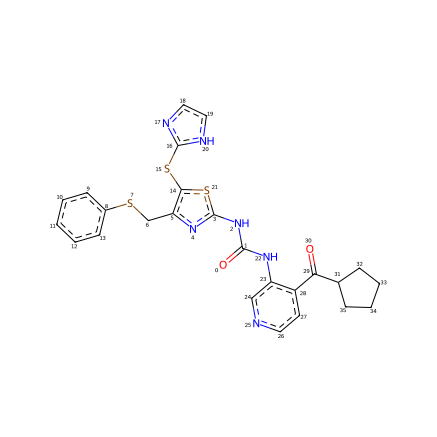 O=C(Nc1nc(CSc2ccccc2)c(Sc2ncc[nH]2)s1)Nc1cnccc1C(=O)C1CCCC1